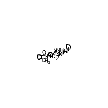 CC(C)(C)C1(N(CCCN2CCCCC2)C(=O)O)NN=C(c2ccc(NC(=O)c3ccccc3C(F)(F)F)cc2)O1